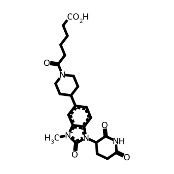 Cn1c(=O)n(C2CCC(=O)NC2=O)c2ccc(C3CCN(C(=O)CCCCC(=O)O)CC3)cc21